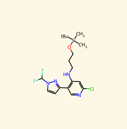 CC(C)(C)[Si](C)(C)OCCCNc1cc(Cl)ncc1-c1ccn(C(F)F)n1